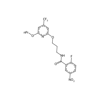 CCCOc1cc(C(F)(F)F)cc(OCCCNC(=O)c2cc([N+](=O)[O-])ccc2F)n1